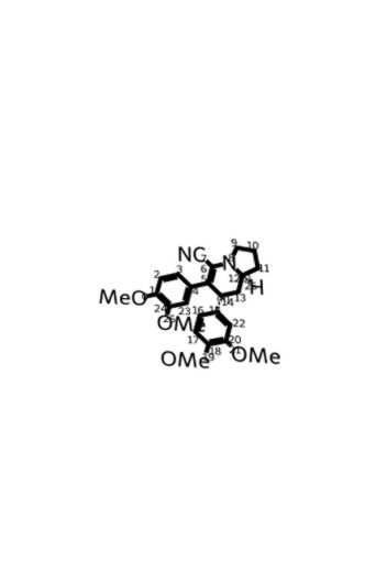 COc1ccc(C2=C(C#N)N3CCC[C@H]3C[C@@H]2c2ccc(OC)c(OC)c2)cc1OC